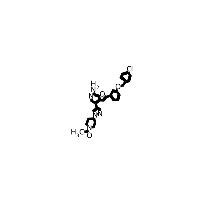 CC(=O)N1CCC(n2cc(-c3cnc(N)c4oc(-c5cccc(OCc6ccc(Cl)cc6)c5)cc34)cn2)CC1